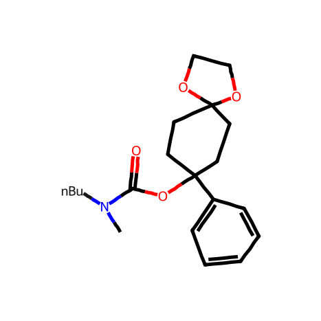 CCCCN(C)C(=O)OC1(c2ccccc2)CCC2(CC1)OCCO2